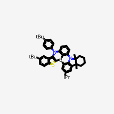 CC(C)c1cc2c3c(c1)C1(C)CCCCC1(C)N3c1cccc3c1B2c1sc2ccc(C(C)(C)C)cc2c1N3c1ccc(C(C)(C)C)cc1